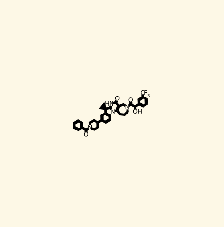 O=C(c1ccccc1)N1CCC(c2cccc(C3(c4nc5c(c(=O)[nH]4)CN(C(=O)C(O)c4cccc(C(F)(F)F)c4)CCC5)CC3)c2)CC1